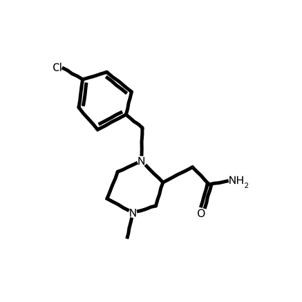 CN1CCN(Cc2ccc(Cl)cc2)C(CC(N)=O)C1